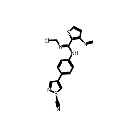 C=Nc1ccsc1/C(=N\CCl)Nc1ccc(C2=CB(C#N)N=C2)cc1